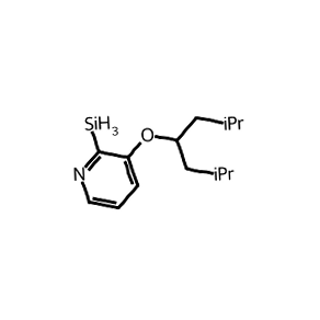 CC(C)CC(CC(C)C)Oc1cccnc1[SiH3]